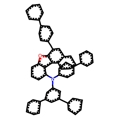 c1ccc(-c2ccc(-c3cc4ccccc4c4c3oc3cccc(N(c5ccc(-c6ccccc6)cc5)c5cc(-c6ccccc6)cc(-c6ccccc6)c5)c34)cc2)cc1